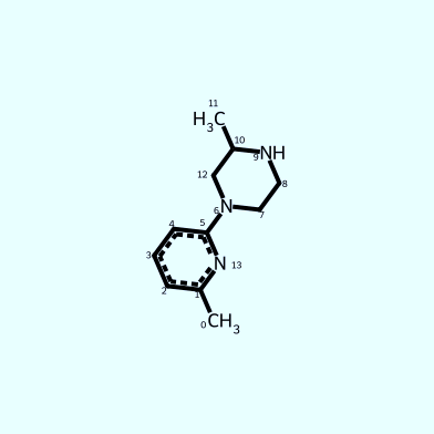 Cc1cccc(N2CCNC(C)C2)n1